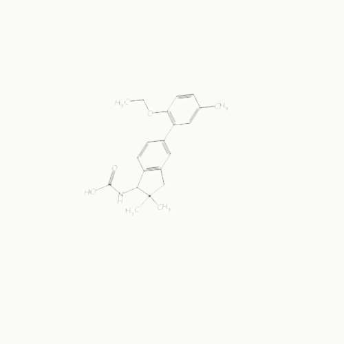 CCOc1ccc(C)cc1-c1ccc2c(c1)CC(C)(C)C2NC(=O)O